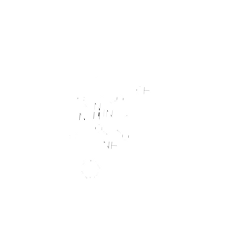 CCCC[C@H](NC(=O)C1(NC(=O)N2CCOCC2)CCCCC1)C(=O)C(=O)NC1CCc2ccccc21